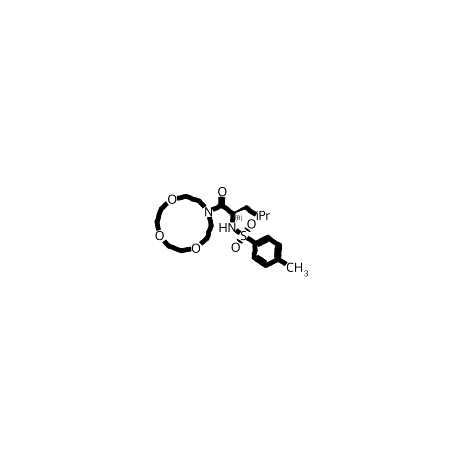 Cc1ccc(S(=O)(=O)N[C@H](CC(C)C)C(=O)N2CCOCCOCCOCC2)cc1